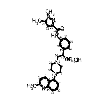 Cc1ccc2c(N3CCN(CC(O)c4cccc(NC(=O)c5cc(C)n(C)n5)c4)CC3)cccc2n1.Cl.Cl